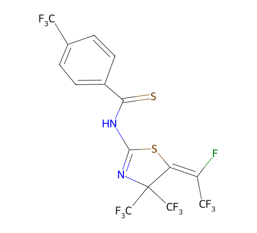 FC(=C1SC(NC(=S)c2ccc(C(F)(F)F)cc2)=NC1(C(F)(F)F)C(F)(F)F)C(F)(F)F